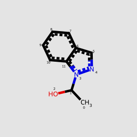 CC(O)n1n[c]c2ccccc21